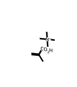 C=C(C)C(=O)O.C[N+](C)(C)C